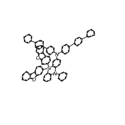 c1ccc(-c2ccc(-c3ccc(N(c4ccc(-c5ccc(-c6ccccc6)cc5)cc4)c4ccc5c(c4)[Si](c4ccc6c(c4)oc4ccccc46)(c4ccc6c(c4)oc4ccccc46)c4ccccc4N5c4ccccc4)cc3)cc2)cc1